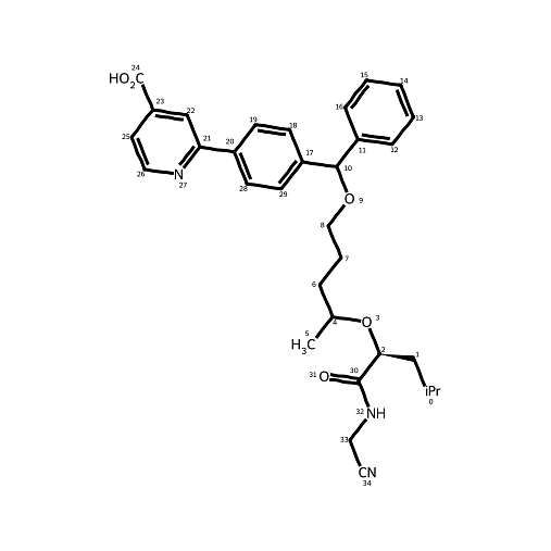 CC(C)C[C@H](OC(C)CCCOC(c1ccccc1)c1ccc(-c2cc(C(=O)O)ccn2)cc1)C(=O)NCC#N